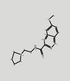 CSc1ccc2nnc(C(=O)NCCN3CCCC3)nc2c1